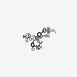 CC(C)(C)CCN/C1=N\C(F)c2ncnn2-c2cc(ccc2Cl)[C@@H](COC(=O)NC2(C(F)(F)F)CC2)N1C(=O)c1ccc(-c2cnn(S(C)(=O)=O)c2)cc1